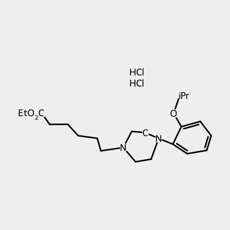 CCOC(=O)CCCCCN1CCN(c2ccccc2OC(C)C)CC1.Cl.Cl